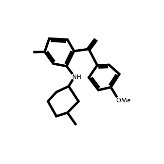 C=C(c1ccc(OC)cc1)c1ccc(C)cc1NC1CCCC(C)C1